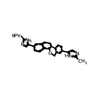 Cc1ncc(-c2ccc3c(c2)COc2c-3ccc3cc(-c4cnc(C(C)C)[nH]4)ccc23)[nH]1